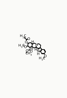 C=CC(=O)O[C@@H]1C[C@@H]2CN3CCc4c([nH]c5cc(OC)ccc45)[C@H]3C[C@@H]2[C@H](C(=O)OC)[C@H]1OC